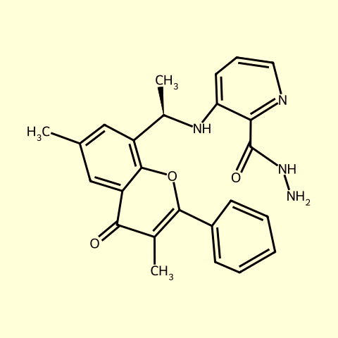 Cc1cc([C@@H](C)Nc2cccnc2C(=O)NN)c2oc(-c3ccccc3)c(C)c(=O)c2c1